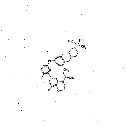 CCC(C)N1CCOc2c(F)cc(-c3nc(Nc4ccc(CN5CCC(C(C)(C)O)CC5)c(F)c4)ncc3F)cc21